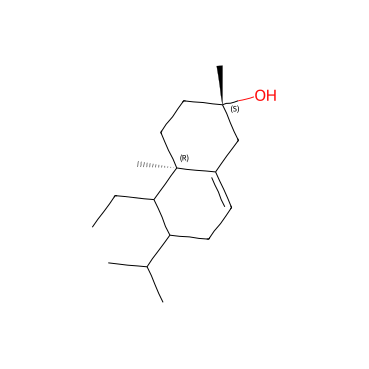 CCC1C(C(C)C)CC=C2C[C@@](C)(O)CC[C@@]21C